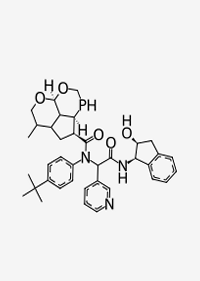 CC1CO[C@H]2OCP[C@@H]3C2C1C[C@@H]3C(=O)N(c1ccc(C(C)(C)C)cc1)C(C(=O)N[C@@H]1c2ccccc2C[C@@H]1O)c1cccnc1